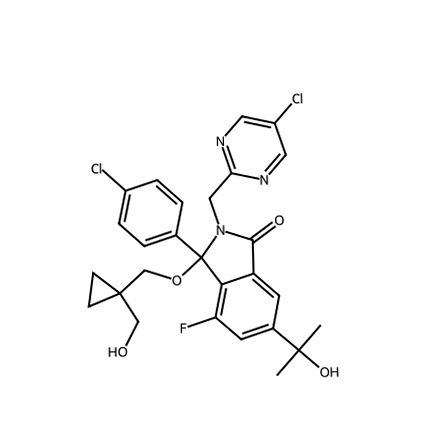 CC(C)(O)c1cc(F)c2c(c1)C(=O)N(Cc1ncc(Cl)cn1)C2(OCC1(CO)CC1)c1ccc(Cl)cc1